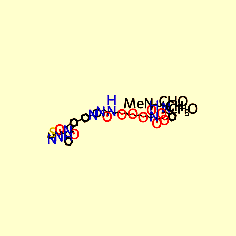 CNC(=O)CCC(C=O)N(C)C(=O)c1c(C=O)cccc1OCC(=O)NCCOCCOCCOCCNC(=O)CN1CCN(c2ccc(-c3ccc4c(c3)C(=O)N(C(C(=O)Nc3nccs3)c3ccccc3)C4)cc2)CC1